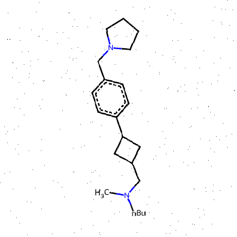 CCCCN(C)CC1CC(c2ccc(CN3CCCC3)cc2)C1